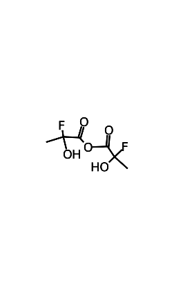 CC(O)(F)C(=O)OC(=O)C(C)(O)F